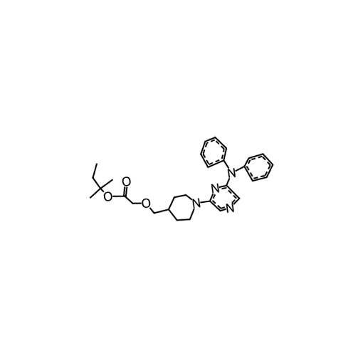 CCC(C)(C)OC(=O)COCC1CCN(c2cncc(N(c3ccccc3)c3ccccc3)n2)CC1